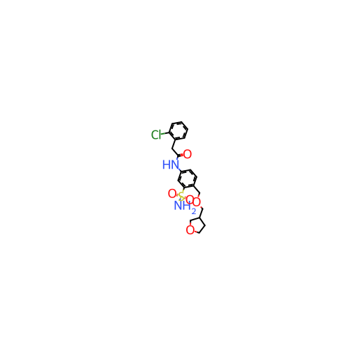 NS(=O)(=O)c1cc(NC(=O)Cc2ccccc2Cl)ccc1COCC1CCOC1